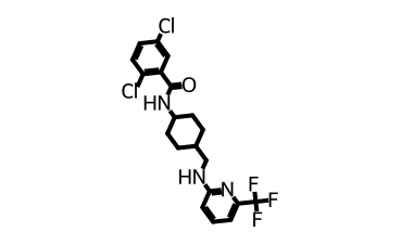 O=C(NC1CCC(CNc2cccc(C(F)(F)F)n2)CC1)c1cc(Cl)ccc1Cl